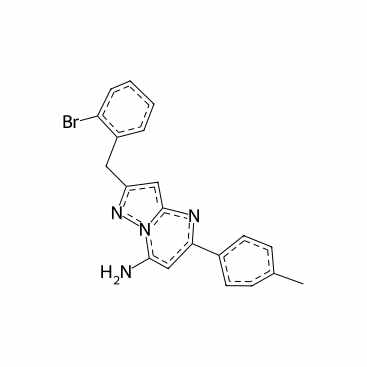 Cc1ccc(-c2cc(N)n3nc(Cc4ccccc4Br)cc3n2)cc1